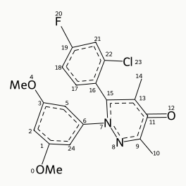 COc1cc(OC)cc(-n2nc(C)c(=O)c(C)c2-c2ccc(F)cc2Cl)c1